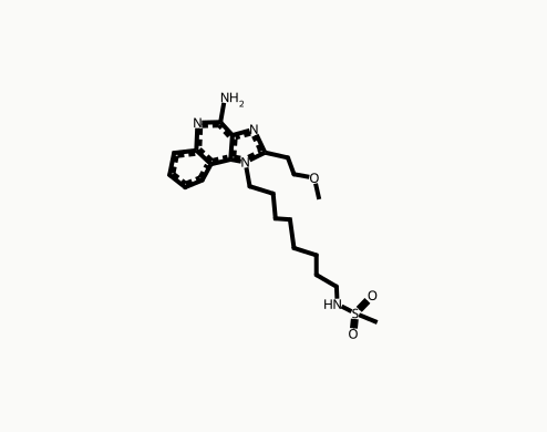 COCCc1nc2c(N)nc3ccccc3c2n1CCCCCCCCNS(C)(=O)=O